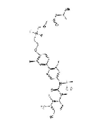 CC(NC(=O)COCC(F)(F)CCOc1ccc(-c2ncc(N(C(=S)N(C)c3ccc(C#N)c(C(F)(F)F)c3F)C(C)(C)C=O)cc2F)cc1F)C(C)(C)C